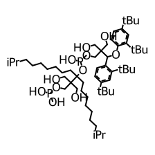 CC(C)CCCCCCCC(CCCCCCCC(C)C)(OP(O)OCC(CO)(CO)C(Oc1ccc(C(C)(C)C)cc1C(C)(C)C)c1ccc(C(C)(C)C)cc1C(C)(C)C)C(CO)(CO)COP(O)O